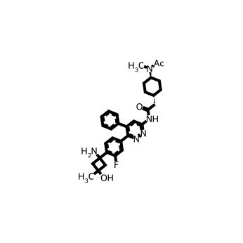 CC(=O)N(C)[C@H]1CC[C@H](CC(=O)Nc2cc(-c3ccccc3)c(-c3ccc(C4(N)CC(C)(O)C4)c(F)c3)nn2)CC1